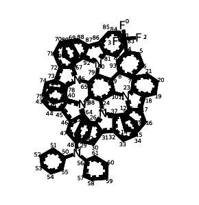 FC(F)(F)c1cccc(-c2c(-n3c4ccccc4c4ccccc43)c(-n3c4ccccc4c4ccccc43)c(-n3c4ccccc4c4cc(N(c5ccccc5)c5ccccc5)ccc43)c(-n3c4ccccc4c4ccccc43)c2-n2c3ccccc3c3ccccc32)c1